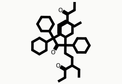 CCC(=O)C(CC)CCC(C(=O)C(CCC(CC)C(=O)CC)(C1CCCCC1)C1CCCCC1)(C1CCCCC1)C1CCCCC1